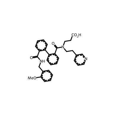 COc1ccccc1CNC(=O)c1ccccc1-c1ccccc1C(=O)N(CCC(=O)O)CCc1cccnc1